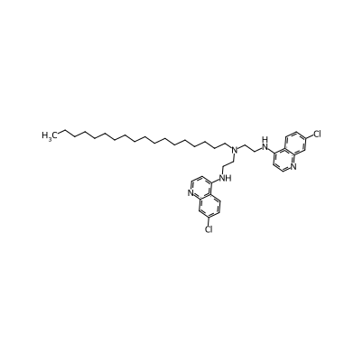 CCCCCCCCCCCCCCCCCCN(CCNc1ccnc2cc(Cl)ccc12)CCNc1ccnc2cc(Cl)ccc12